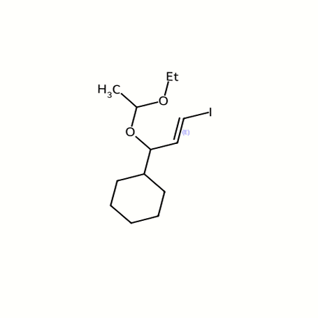 CCOC(C)OC(/C=C/I)C1CCCCC1